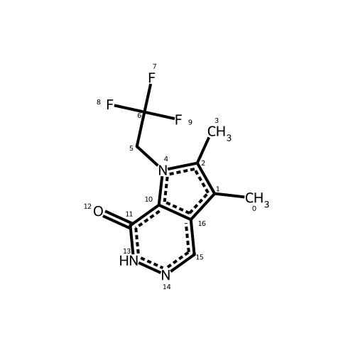 Cc1c(C)n(CC(F)(F)F)c2c(=O)[nH]ncc12